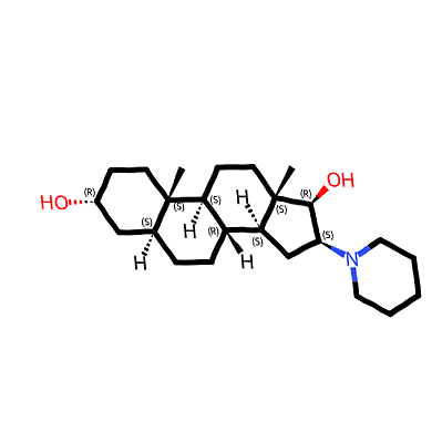 C[C@]12CC[C@@H](O)C[C@@H]1CC[C@@H]1[C@@H]2CC[C@]2(C)[C@@H](O)[C@@H](N3CCCCC3)C[C@@H]12